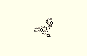 COc1cc(C(=O)N(C)CC(CCN2CCCN(c3nc4ccccc4n3Cc3ccc(CO)o3)CC2)c2ccc(F)cc2)cc(OC)c1OC